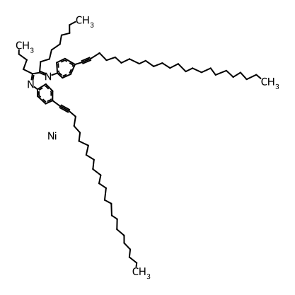 CCCCCCCCCCCCCCCCCCCCCCC#Cc1ccc(N=C(CCCC)C(CCCCCCCC)=Nc2ccc(C#CCCCCCCCCCCCCCCCCCCCCCC)cc2)cc1.[Ni]